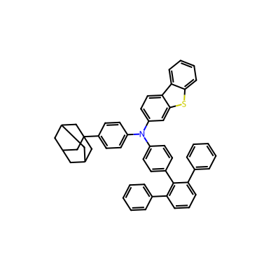 c1ccc(-c2cccc(-c3ccccc3)c2-c2ccc(N(c3ccc(C45CC6CC(CC(C6)C4)C5)cc3)c3ccc4c(c3)sc3ccccc34)cc2)cc1